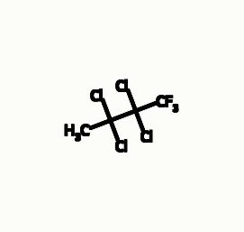 CC(Cl)(Cl)C(Cl)(Cl)C(F)(F)F